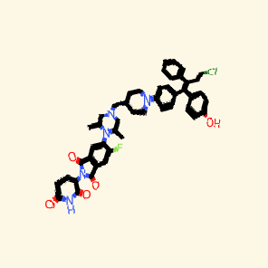 CC1CN(CC2CCN(c3ccc(C(=C(CCCl)c4ccccc4)c4ccc(O)cc4)cc3)CC2)CC(C)N1c1cc2c(cc1F)C(=O)N(C1CCC(=O)NC1=O)C2=O